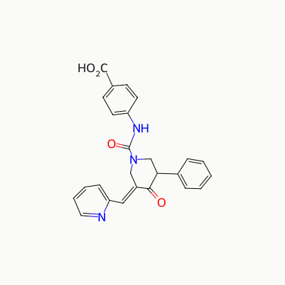 O=C(O)c1ccc(NC(=O)N2CC(=Cc3ccccn3)C(=O)C(c3ccccc3)C2)cc1